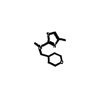 Cc1csc(N(C)CC2CCOCC2)n1